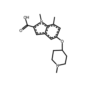 Cc1cc(OC2CCN(C)CC2)cc2cc(C(=O)O)n(C)c12